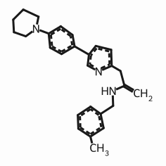 C=C(Cc1ccc(-c2ccc(N3CCCCC3)cc2)cn1)NCc1cccc(C)c1